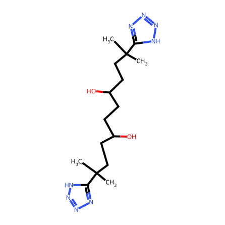 CC(C)(CCC(O)CCC(O)CCC(C)(C)c1nnn[nH]1)c1nnn[nH]1